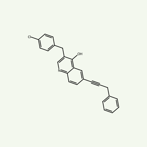 Oc1c(Cc2ccc(Cl)cc2)cnc2ccc(C#CCc3ccccc3)cc12